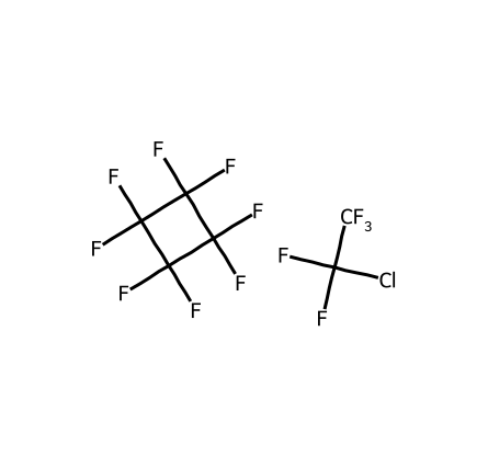 FC(F)(F)C(F)(F)Cl.FC1(F)C(F)(F)C(F)(F)C1(F)F